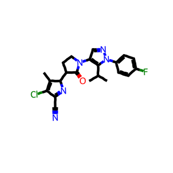 CC1=C(Cl)C(C#N)=NC1C1CCN(c2cnn(-c3ccc(F)cc3)c2C(C)C)C1=O